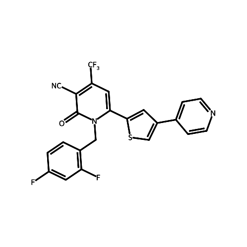 N#Cc1c(C(F)(F)F)cc(-c2cc(-c3ccncc3)cs2)n(Cc2ccc(F)cc2F)c1=O